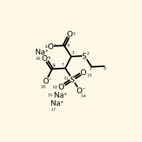 CCSC(C(=O)[O-])C(C(=O)[O-])S(=O)(=O)[O-].[Na+].[Na+].[Na+]